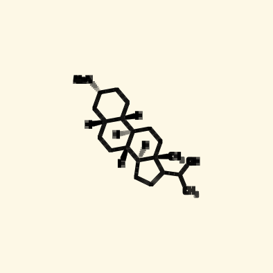 CN[C@@H]1CC[C@H]2[C@H](CC[C@@H]3[C@@H]2CC[C@]2(C)C(C(C)O)CC[C@@H]32)C1